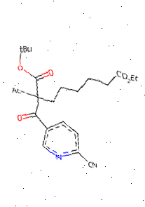 CCOC(=O)CCCCCC(C(C)=O)(C(=O)OC(C)(C)C)C(=O)c1ccc(C#N)nc1